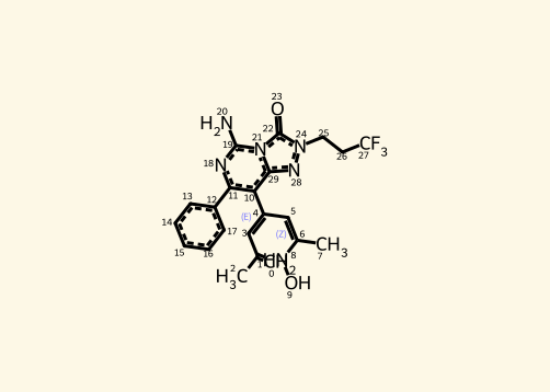 C=C(C)/C=C(\C=C(\C)NO)c1c(-c2ccccc2)nc(N)n2c(=O)n(CCC(F)(F)F)nc12